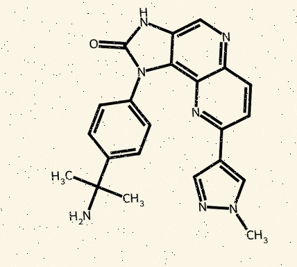 Cn1cc(-c2ccc3ncc4[nH]c(=O)n(-c5ccc(C(C)(C)N)cc5)c4c3n2)cn1